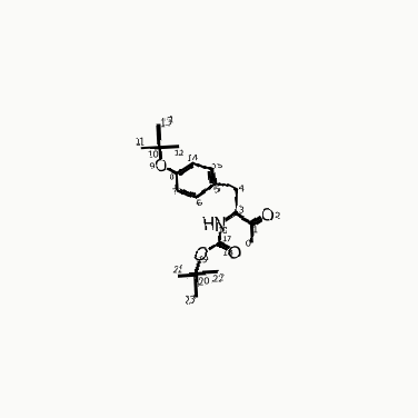 CC(=O)[C@H](Cc1ccc(OC(C)(C)C)cc1)NC(=O)OC(C)(C)C